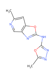 Cc1cc2oc(Nc3nnc(C)o3)nc2cn1